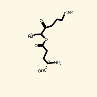 CCCCCCCCCCCCCC(=O)C(CCCC)OC(=O)CC[C@H](N)C(=O)[O-].[Na+]